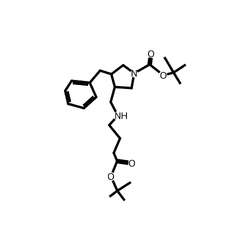 CC(C)(C)OC(=O)CCCNCC1CN(C(=O)OC(C)(C)C)CC1Cc1ccccc1